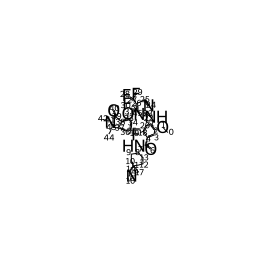 COc1cc(C(=O)NC2CCC3(CC2)CN(C)C3)c(F)cc1Nc1ncc(C(F)(F)F)c(Oc2cccc3c2C(=O)N(C)C3C)n1